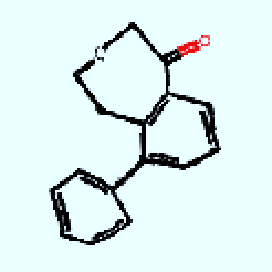 O=C1CCCCc2c1cccc2-c1ccccc1